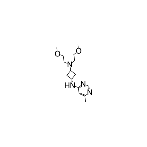 COCCN(CCOC)[C@H]1C[C@@H](Nc2cc(C)ncn2)C1